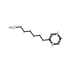 O=C(O)CCCCCCc1cnccn1